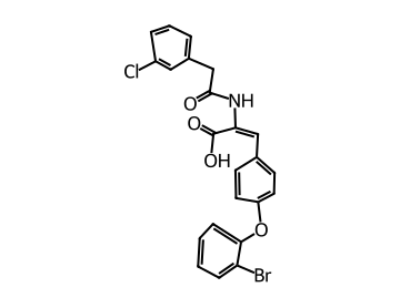 O=C(Cc1cccc(Cl)c1)N/C(=C/c1ccc(Oc2ccccc2Br)cc1)C(=O)O